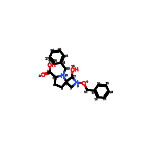 O=C(O)C1CCC2(CN(OCc3ccccc3)C2O)N1Cc1ccccc1